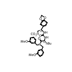 CCCC[C@H](NC(=O)N[C@@H](CC(=O)O)c1ccc2c(c1)OCO2)C(=O)N(Cc1cccc(OC)c1)Cc1cccc(OC)c1